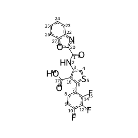 O=C(Nc1csc(-c2ccc(F)c(F)c2F)c1C(=O)O)c1nc2ccccc2o1